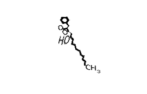 CCCCCCCCCCCC(O)C[C@@H]1OC(=O)[C@H]1Cc1ccccc1